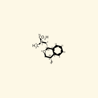 CN(C[C@H]1OC[C@@H](F)c2ccccc21)C(=O)O